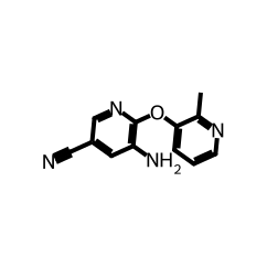 Cc1ncccc1Oc1ncc(C#N)cc1N